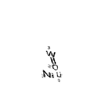 [Li].[Ni].[O]=[W]